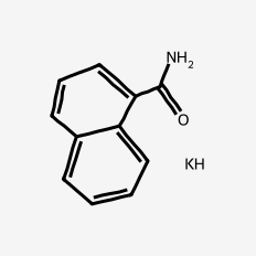 NC(=O)c1cccc2ccccc12.[KH]